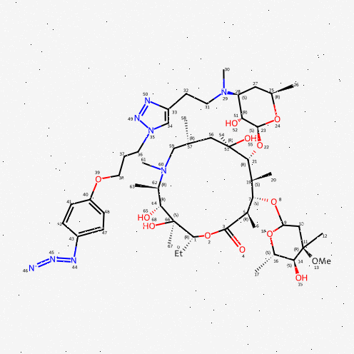 CC[C@H]1OC(=O)[C@H](C)[C@@H](OC2C[C@@](C)(OC)[C@@H](O)[C@H](C)O2)[C@H](C)[C@@H](O[C@@H]2O[C@H](C)C[C@H](N(C)CCc3cn(CCCOc4ccc(N=[N+]=[N-])cc4)nn3)[C@H]2O)[C@](C)(O)C[C@@H](C)CN(C)[C@H](C)[C@@H](O)[C@]1(C)O